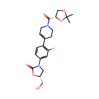 CC1(C)OC[C@@H](C(=O)N2CC=C(c3ccc(N4C[C@H](CO)OC4=O)cc3F)CC2)O1